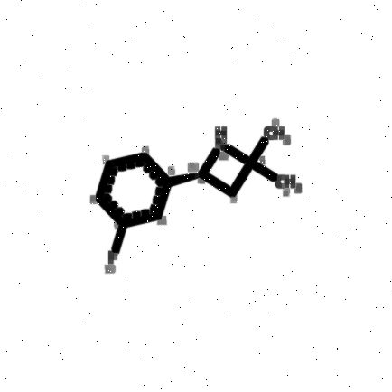 CC1(C)C[C@@H](c2cc[c]c(F)c2)N1